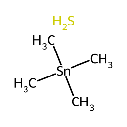 S.[CH3][Sn]([CH3])([CH3])[CH3]